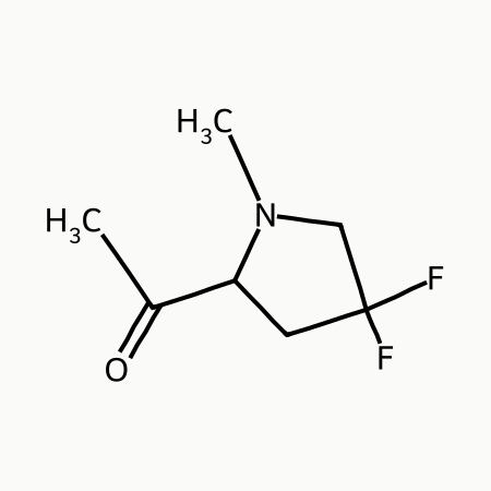 CC(=O)C1CC(F)(F)CN1C